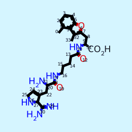 Cc1cccc2oc(CC(NC(=O)CCCCNC(=O)C(N)CC3=CCNC3C(=N)N)C(=O)O)c(C)c12